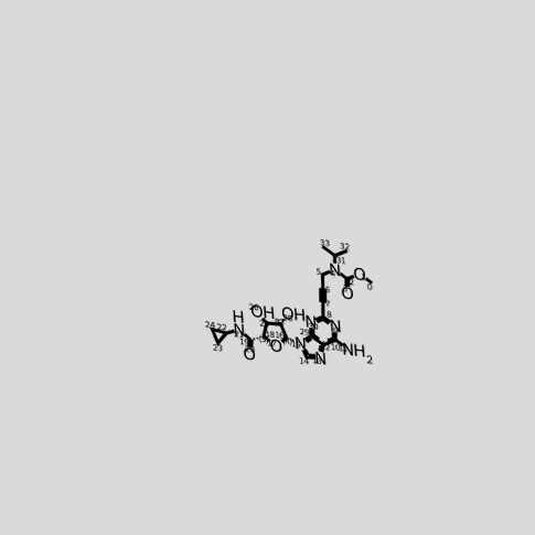 COC(=O)N(CC#Cc1nc(N)c2ncn([C@@H]3O[C@H](C(=O)NC4CC4)C(O)[C@@H]3O)c2n1)C(C)C